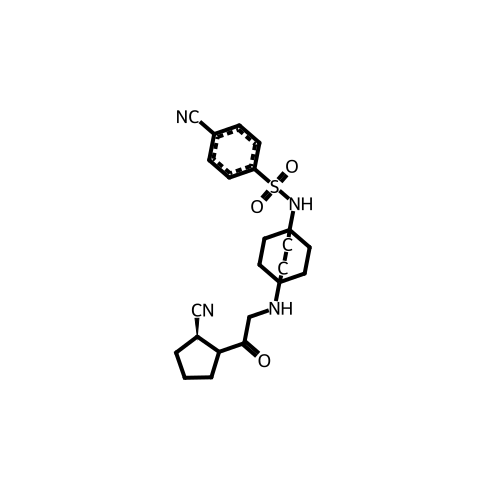 N#Cc1ccc(S(=O)(=O)NC23CCC(NCC(=O)C4CCC[C@H]4C#N)(CC2)CC3)cc1